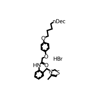 Br.CCCCCCCCCCCCCCOc1ccc(OCC(=O)Nc2ccccc2CN2CSC=C2C)cc1